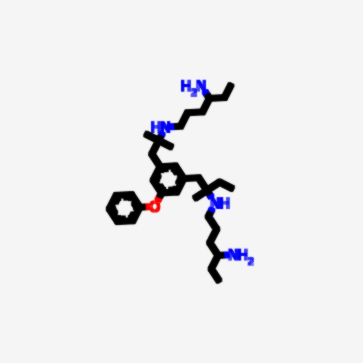 CCC(N)CCCNC(C)(C)Cc1cc(CC(C)(CC)NCCCC(N)CC)cc(Oc2ccccc2)c1